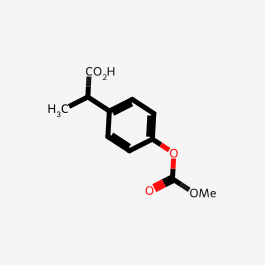 COC(=O)Oc1ccc(C(C)C(=O)O)cc1